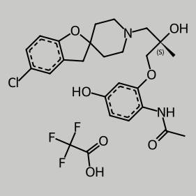 CC(=O)Nc1ccc(O)cc1OC[C@@](C)(O)CN1CCC2(CC1)Cc1cc(Cl)ccc1O2.O=C(O)C(F)(F)F